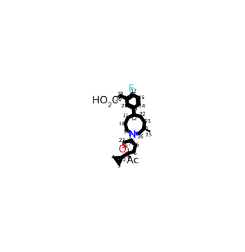 CC(=O)[C@@]1(C2CC2)CC[C@@H](N2CCCC(c3ccc(F)c(CC(=O)O)c3)CC[C@@H](C)C2)CO1